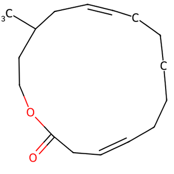 CC1CC=CCCCCCC=CCC(=O)OCC1